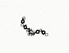 Cn1cc(-c2ccc(Oc3ccc(Cl)cc3)cc2)nc1C(=O)c1nc(-c2ccc(Oc3ccc(Cl)cc3)cc2)cn1C